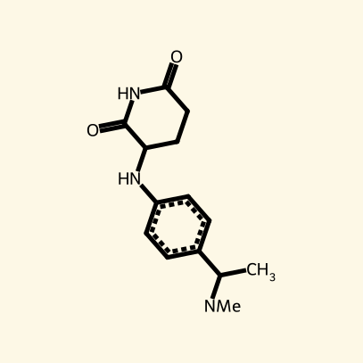 CNC(C)c1ccc(NC2CCC(=O)NC2=O)cc1